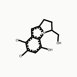 OCC1CCc2cc3c(Cl)c(Cl)cc(O)c3n21